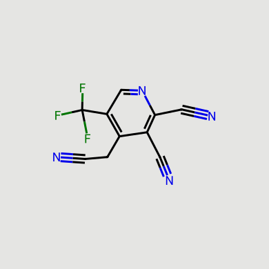 N#CCc1c(C(F)(F)F)cnc(C#N)c1C#N